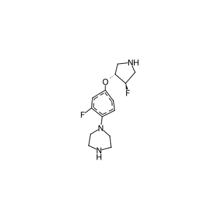 Fc1cc(O[C@@H]2CNC[C@H]2F)ccc1N1CCNCC1